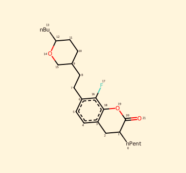 CCCCCC1Cc2ccc(CCC3CCC(CCCC)OC3)c(F)c2OC1=O